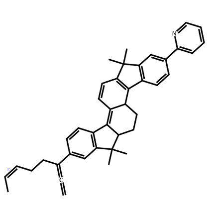 C=C=C(CC/C=C\C)c1ccc2c(c1)C(C)(C)C1CCC3C(=C21)C=CC1=C3c2ccc(-c3ccccn3)cc2C1(C)C